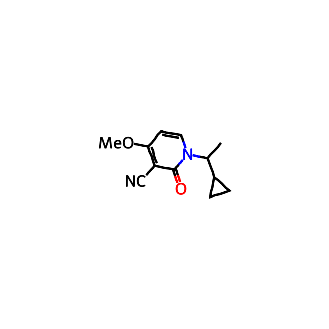 COc1ccn(C(C)C2CC2)c(=O)c1C#N